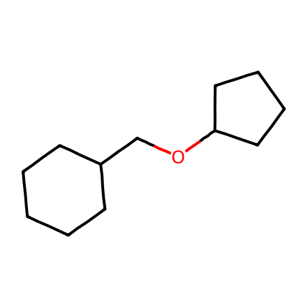 C1CCC(COC2CCCC2)CC1